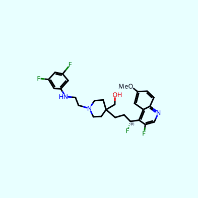 COc1ccc2ncc(F)c([C@H](F)CCC3(CO)CCN(CCNc4cc(F)cc(F)c4)CC3)c2c1